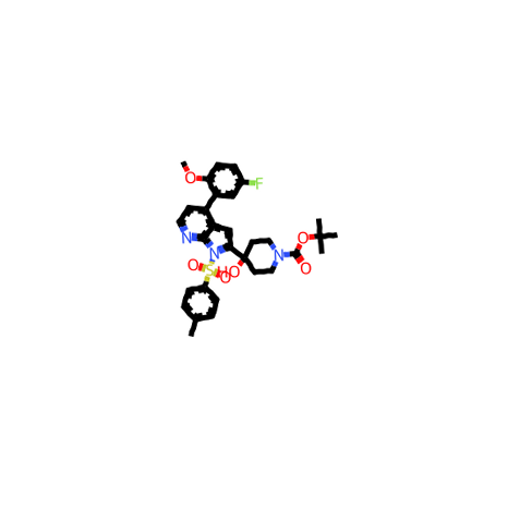 COc1ccc(F)cc1-c1ccnc2c1cc(C1(O)CCN(C(=O)OC(C)(C)C)CC1)n2S(=O)(=O)c1ccc(C)cc1